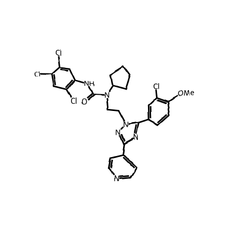 COc1ccc(-c2nc(-c3ccncc3)nn2CCN(C(=O)Nc2cc(Cl)c(Cl)cc2Cl)C2CCCC2)cc1Cl